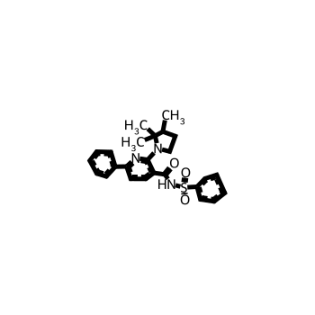 CC1CCN(c2nc(-c3ccccc3)ccc2C(=O)NS(=O)(=O)c2ccccc2)C1(C)C